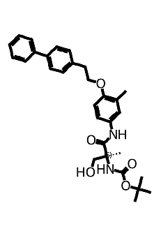 Cc1cc(NC(=O)[C@](C)(CO)NC(=O)OC(C)(C)C)ccc1OCCc1ccc(-c2ccccc2)cc1